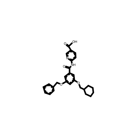 O=C(O)c1ccc(NC(=O)c2cc(OCc3ccccc3)cc(OCC3CCCCC3)c2)nc1